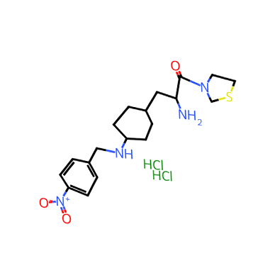 Cl.Cl.NC(CC1CCC(NCc2ccc([N+](=O)[O-])cc2)CC1)C(=O)N1CCSC1